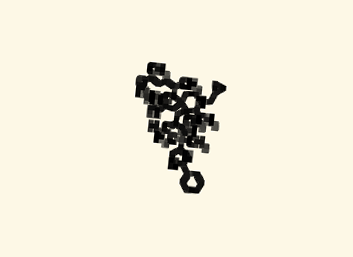 C=C(CC)CC1(C(=C)/C(C)=C\C=C(/C)OCC)CCN(CC2CC2)C(C)C1(C)CC(=C)NC(C)(C)C1=NC(c2ccccc2)=NC1